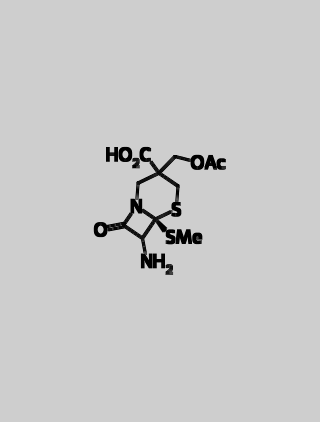 CS[C@]12SCC(COC(C)=O)(C(=O)O)CN1C(=O)C2N